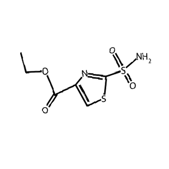 CCOC(=O)c1csc(S(N)(=O)=O)n1